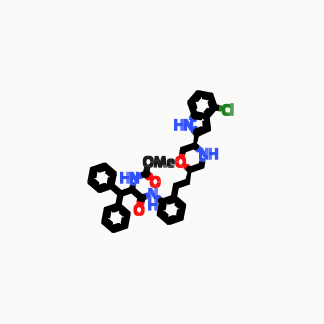 COC(=O)NC(C(=O)Nc1ccccc1CC[C@@H]1CN[C@H](c2cc3c(Cl)cccc3[nH]2)CO1)C(c1ccccc1)c1ccccc1